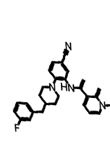 C=C(Nc1cc(C#N)ccc1N1CCC(Cc2cccc(F)c2)CC1)C1=CC=CN(C)C1=C